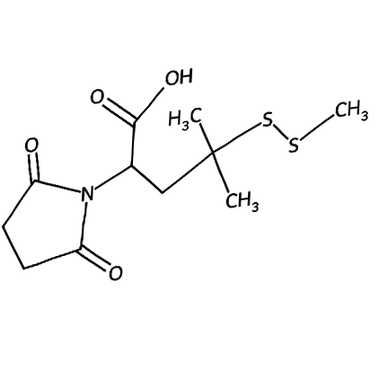 CSSC(C)(C)CC(C(=O)O)N1C(=O)CCC1=O